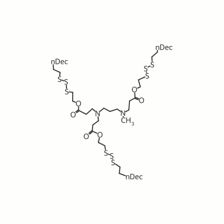 CCCCCCCCCCCCSSSCCOC(=O)CCN(C)CCCN(CCC(=O)OCCSSSCCCCCCCCCCCC)CCC(=O)OCCSSSCCCCCCCCCCCC